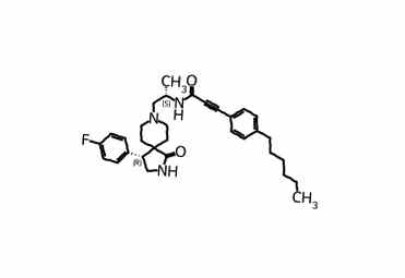 CCCCCCc1ccc(C#CC(=O)N[C@@H](C)CN2CCC3(CC2)C(=O)NC[C@@H]3c2ccc(F)cc2)cc1